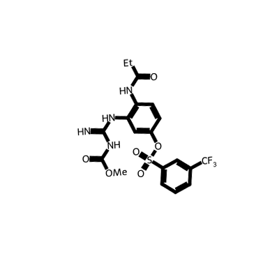 CCC(=O)Nc1ccc(OS(=O)(=O)c2cccc(C(F)(F)F)c2)cc1NC(=N)NC(=O)OC